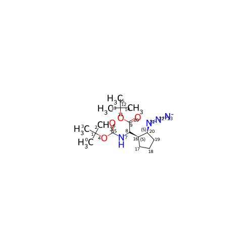 CC(C)(C)OC(=O)NC(C(=O)OC(C)(C)C)[C@@H]1CCC[C@@H]1N=[N+]=[N-]